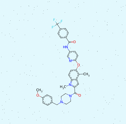 COc1ccc(CN2CCN(C(=O)c3cc4c(C)c(Oc5ccc(NC(=O)c6ccc(C(F)(F)F)cc6)cn5)ccc4n3C)CC2)cc1